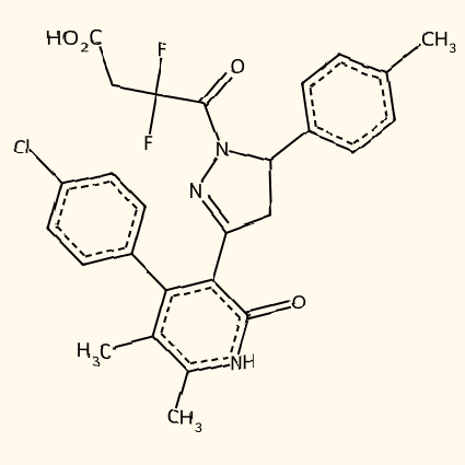 Cc1ccc(C2CC(c3c(-c4ccc(Cl)cc4)c(C)c(C)[nH]c3=O)=NN2C(=O)C(F)(F)CC(=O)O)cc1